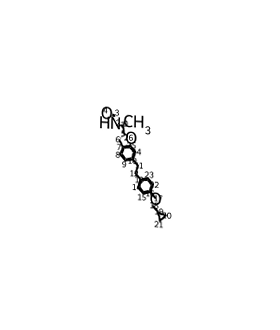 C[C@H](NC=O)[C@H]1Cc2ccc(CCc3ccc(OCC4CC4)cc3)cc2O1